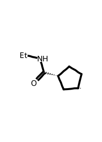 CCNC(=O)[C@H]1C[CH]CC1